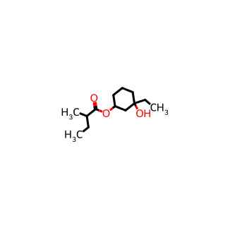 CCC(C)C(=O)OC1CCCC(O)(CC)C1